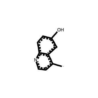 [CH2]c1ccnc2ccc(O)cc12